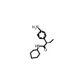 CC[C@@H](C(=O)NC1CCCCC1)c1ccc(N)cc1